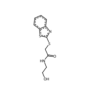 O=C(CSc1nc2ccccc2s1)NCCO